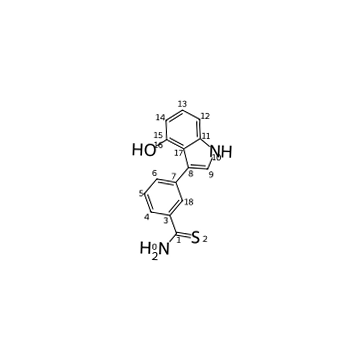 NC(=S)c1cccc(-c2c[nH]c3cccc(O)c23)c1